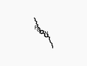 CCCCCCCCc1ccc(-c2ccc(OCC(F)CCCCCC)cc2)nc1